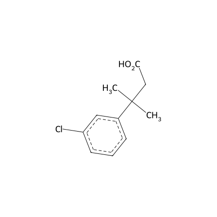 CC(C)(CC(=O)O)c1cccc(Cl)c1